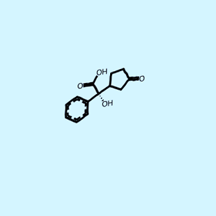 O=C1CCC([C@](O)(C(=O)O)c2ccccc2)C1